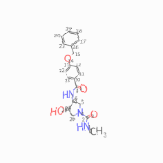 CNC(=O)N1C[C@H](NC(=O)c2ccc(OCc3ccccc3)cc2)[C@@H](O)C1